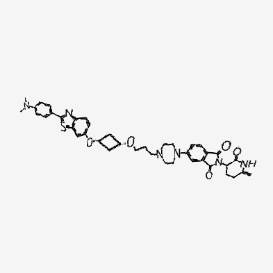 C=C1CCC(N2C(=O)c3ccc(N4CCN(CCCO[C@H]5C[C@H](Oc6ccc7nc(-c8ccc(N(C)C)cc8)sc7c6)C5)CC4)cc3C2=O)C(=O)N1